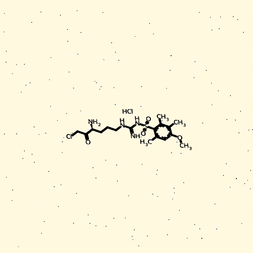 COc1cc(C)c(S(=O)(=O)NC(=N)NCCC[C@H](N)C(=O)CCl)c(C)c1C.Cl